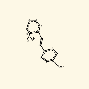 CSc1ccc(C=Cc2ccccc2C(=O)O)cc1